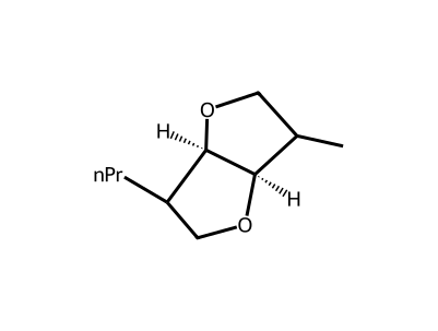 CCCC1CO[C@@H]2C(C)CO[C@H]12